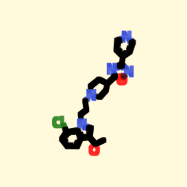 CC(=O)c1cn(CCCN2CCC(c3nc(-c4ccncc4)no3)CC2)c2c(Cl)cccc12